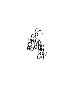 CCOC(=O)c1cnc(NC(=O)NCC(O)CO)nc1Nc1cccc(O)c1